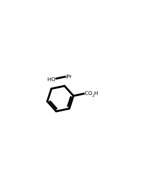 CC(C)O.O=C(O)C1=CC=CCC1